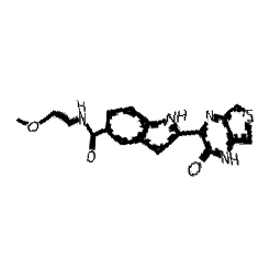 COCCNC(=O)c1ccc2[nH]c(-c3nc4cscc4[nH]c3=O)cc2c1